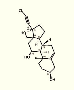 C[C@]12CC[C@H](O)CC1=CC[C@@H]1[C@@H]2[C@@H](O)C[C@@]2(CO)[C@H]1CC[C@@]2(O)C#CCl